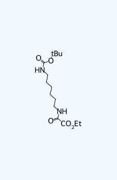 CCOC(=O)C(=O)NCCCCCCNC(=O)OC(C)(C)C